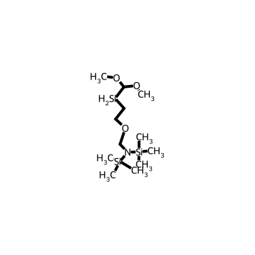 COC(OC)[SiH2]CCOCN([Si](C)(C)C)[Si](C)(C)C